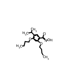 CCCCOc1cc(OCCCC)c(C(C)C)cc1/C(Cl)=N/O